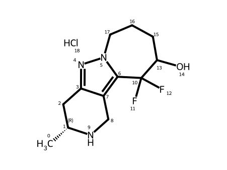 C[C@@H]1Cc2nn3c(c2CN1)C(F)(F)C(O)CCC3.Cl